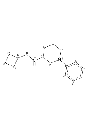 c1cncc(N2CCCC(NCC3CCC3)C2)c1